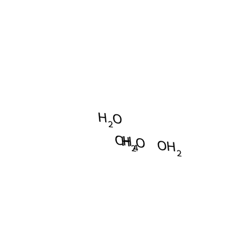 C.O.O.O